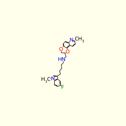 Cc1ccc2c3c(ccc2n1)OCC(CNCCCCCc1cn(C)c2ccc(F)cc12)O3